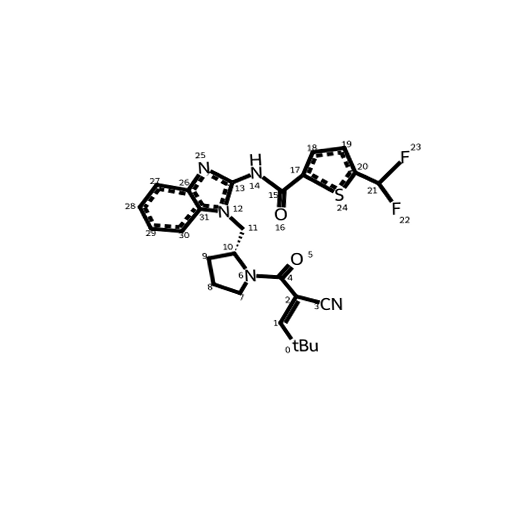 CC(C)(C)/C=C(\C#N)C(=O)N1CCC[C@@H]1Cn1c(NC(=O)c2ccc(C(F)F)s2)nc2ccccc21